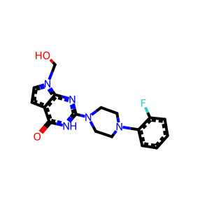 O=c1[nH]c(N2CCN(c3ccccc3F)CC2)nc2c1ccn2CO